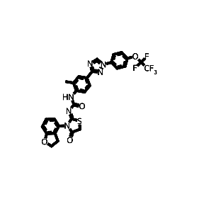 Cc1cc(-c2ncn(-c3ccc(OC(F)(F)C(F)(F)F)cc3)n2)ccc1NC(=O)/N=C1\SCC(=O)N1c1cccc2c1CCO2